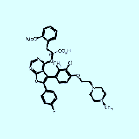 COc1ccccc1C[C@@H](Oc1ncnc2oc(-c3ccc(F)cc3)c(-c3ccc(OCCN4CCN(C)CC4)c(Cl)c3C)c12)C(=O)O